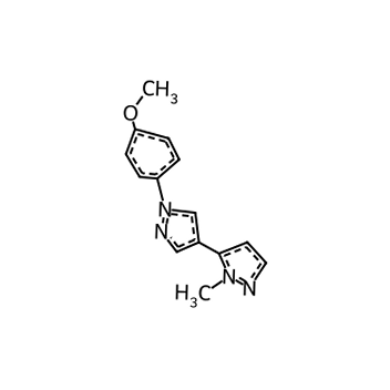 COc1ccc(-n2cc(-c3ccnn3C)cn2)cc1